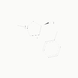 Cc1ccccc1[C@@H]1CN(C)C[C@H]1C(C)C